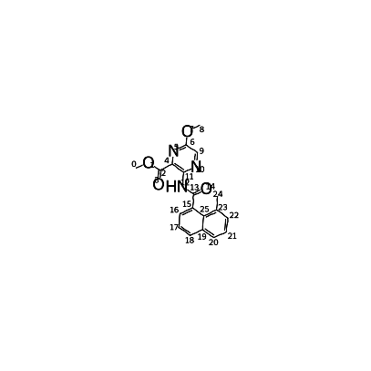 COC(=O)c1nc(OC)cnc1NC(=O)c1cccc2cccc(C)c12